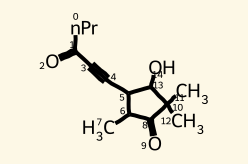 CCCC(=O)C#CC1C(C)C(=O)C(C)(C)C1O